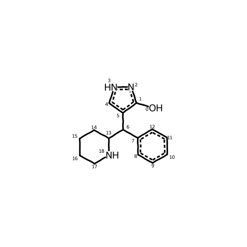 Oc1n[nH]cc1C(c1ccccc1)C1CCCCN1